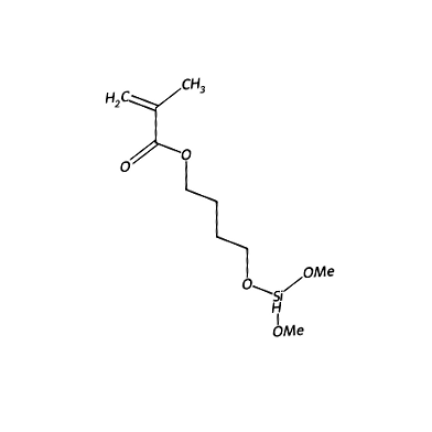 C=C(C)C(=O)OCCCCO[SiH](OC)OC